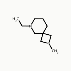 CCN1CCCC2(CN(C)C2)C1